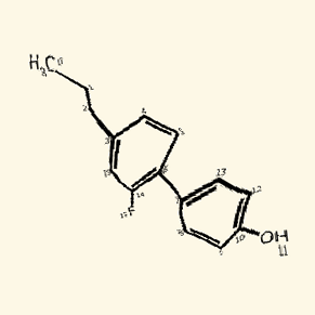 CCCc1ccc(-c2ccc(O)cc2)c(F)c1